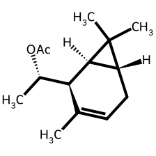 CC(=O)O[C@@H](C)[C@@H]1C(C)=CC[C@@H]2[C@@H]1C2(C)C